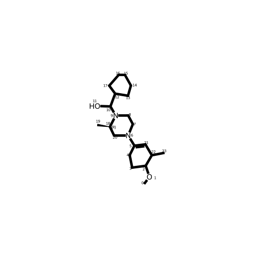 COC1CCC(N2CCN(C(O)C3CCCCC3)[C@H](C)C2)=CC1C